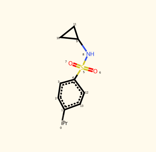 CC(C)c1ccc(S(=O)(=O)NC2CC2)cc1